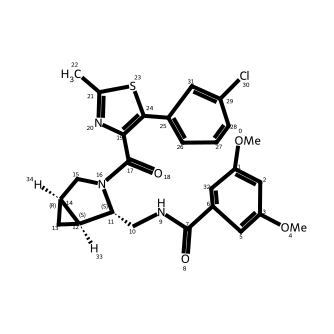 COc1cc(OC)cc(C(=O)NC[C@@H]2[C@H]3C[C@H]3CN2C(=O)c2nc(C)sc2-c2cccc(Cl)c2)c1